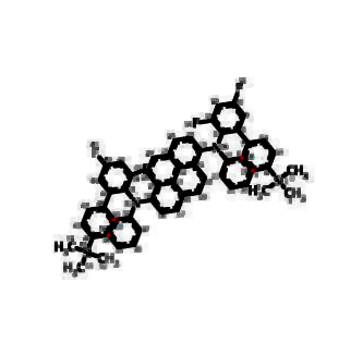 C[Si](C)(C)c1ccc(-c2cc(F)cc(F)c2N(c2ccccc2)c2ccc3ccc4c(N(c5ccccc5)c5c(F)cc(F)cc5-c5ccc([Si](C)(C)C)cc5)ccc5ccc2c3c54)cc1